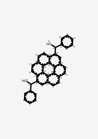 OC(c1ccccc1)c1cc2ccc3ccc4cc(C(O)c5ccccc5)c5ccc6ccc1c1c2c3c4c5c61